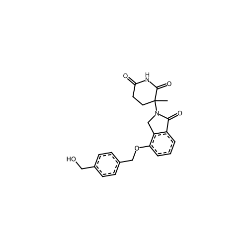 CC1(N2Cc3c(OCc4ccc(CO)cc4)cccc3C2=O)CCC(=O)NC1=O